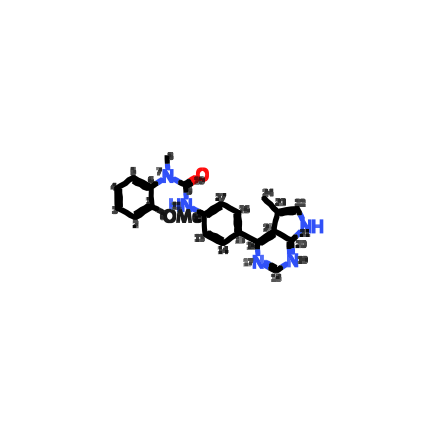 COc1ccccc1N(C)C(=O)Nc1ccc(-c2ncnc3[nH]cc(C)c23)cc1